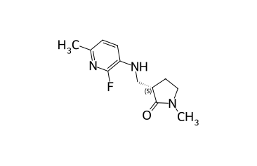 Cc1ccc(NC[C@@H]2CCN(C)C2=O)c(F)n1